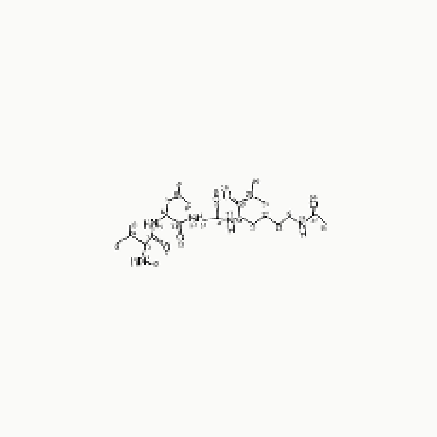 CNC(C(=O)NC(CC(C)C)C(=O)NCC(=O)NC(CCCCNC(C)=O)C(=O)C(C)C)C(C)C